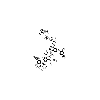 CCOC(=O)COC(=O)c1cc(Oc2ccc(C(F)(F)F)cc2Cl)ccc1[N+](=O)[O-].CCc1cccc(C)c1N(C(=O)CCl)C(C)COC.CP(=O)(O)CCC(N)C(=O)O.CS(=O)(=O)c1ccc(C(=O)C2C(=O)CCCC2=O)c([N+](=O)[O-])c1